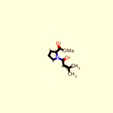 COC(=O)C1CCCN1C(=O)C=C(C)C